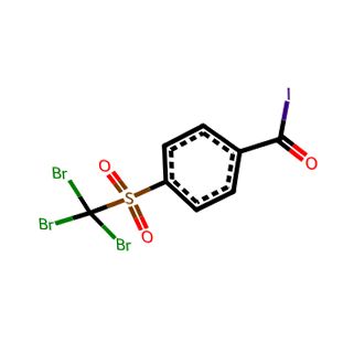 O=C(I)c1ccc(S(=O)(=O)C(Br)(Br)Br)cc1